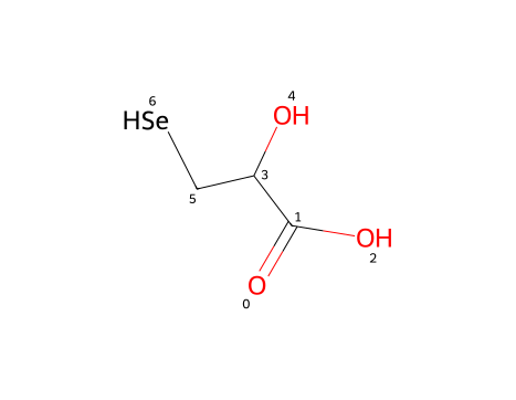 O=C(O)C(O)C[SeH]